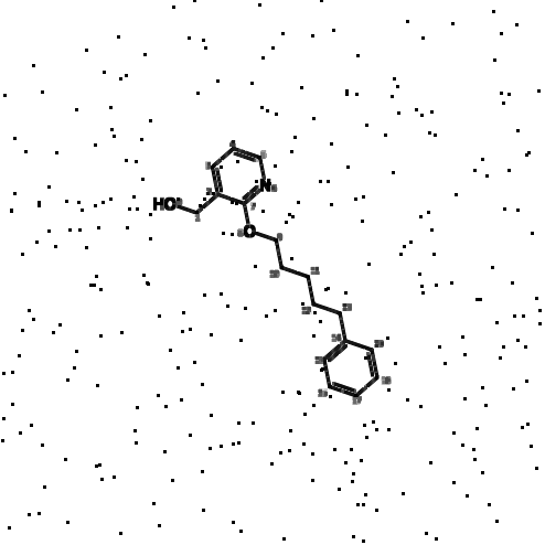 OCc1cccnc1OCCCCCc1ccccc1